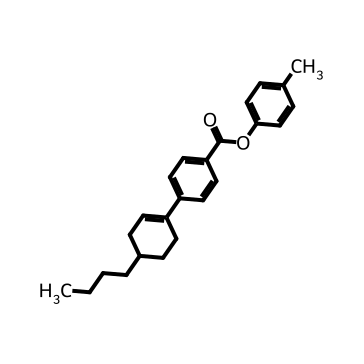 CCCCC1CC=C(c2ccc(C(=O)Oc3ccc(C)cc3)cc2)CC1